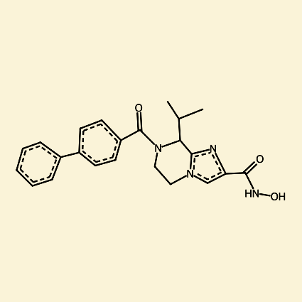 CC(C)C1c2nc(C(=O)NO)cn2CCN1C(=O)c1ccc(-c2ccccc2)cc1